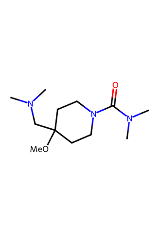 COC1(CN(C)C)CCN(C(=O)N(C)C)CC1